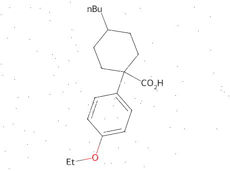 CCCCC1CCC(C(=O)O)(c2ccc(OCC)cc2)CC1